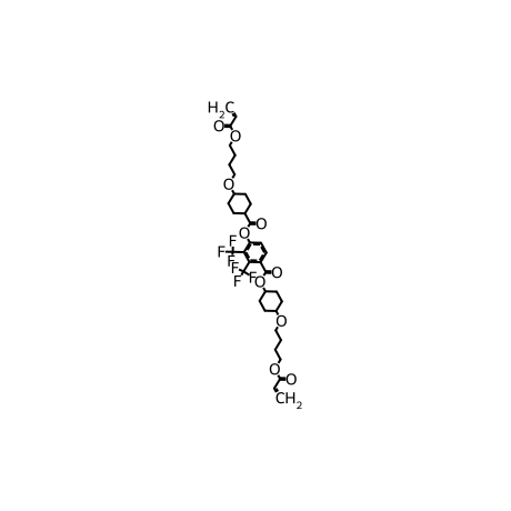 C=CC(=O)OCCCCOC1CCC(OC(=O)c2ccc(OC(=O)C3CCC(OCCCCOC(=O)C=C)CC3)c(C(F)(F)F)c2C(F)(F)F)CC1